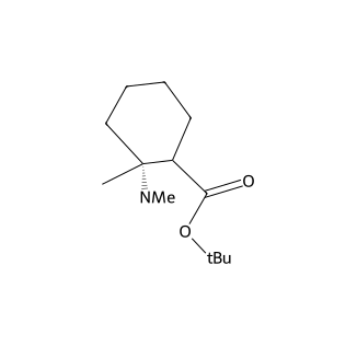 CN[C@]1(C)CCCCC1C(=O)OC(C)(C)C